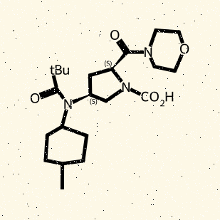 CC1CCC(N(C(=O)C(C)(C)C)[C@H]2C[C@@H](C(=O)N3CCOCC3)N(C(=O)O)C2)CC1